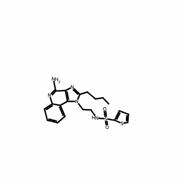 CCCCc1nc2c(N)nc3ccccc3c2n1CCNS(=O)(=O)c1cccs1